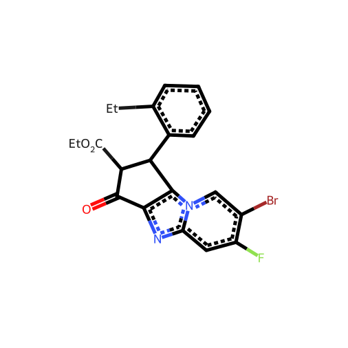 CCOC(=O)C1C(=O)c2nc3cc(F)c(Br)cn3c2C1c1ccccc1CC